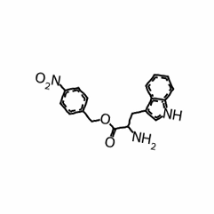 NC(Cc1c[nH]c2ccccc12)C(=O)OCc1ccc([N+](=O)[O-])cc1